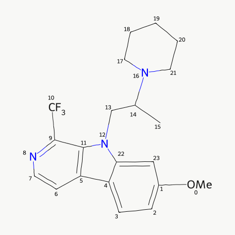 COc1ccc2c3ccnc(C(F)(F)F)c3n(CC(C)N3CCCCC3)c2c1